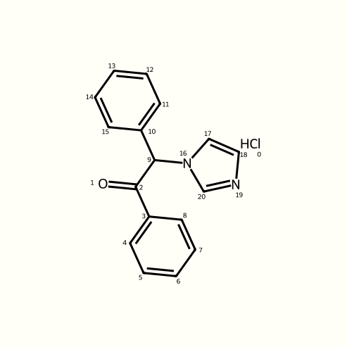 Cl.O=C(c1ccccc1)C(c1ccccc1)n1ccnc1